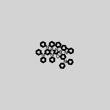 c1ccc(N(c2ccccc2)c2cc3c4c(c2)N(c2ccccc2)c2c5c(n(-c6ccccc6)c2B4c2ccccc2N3c2ccccc2)B2c3c(cc(N(c4ccccc4)c4ccccc4)cc3-n3c4ccccc4c4cccc2c43)O5)cc1